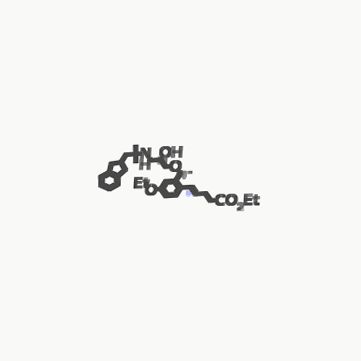 CCOC(=O)CC/C=C/c1ccc(OCC)cc1[C@@H](C)OC[C@H](O)CNC(C)(C)CC1Cc2ccccc2C1